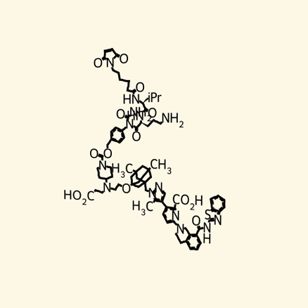 Cc1c(-c2ccc(N3CCc4cccc(C(=O)Nc5nc6ccccc6s5)c4C3)nc2C(=O)O)cnn1CC12CC3(C)CC(C)(C1)CC(OCCN(CCC(=O)O)C1CCN(C(=O)OCc4ccc(N(C(N)=O)C(=O)[C@H](CCCN)NC(=O)[C@@H](NC(=O)CCCCCN5C(=O)C=CC5=O)C(C)C)cc4)CC1)(C3)C2